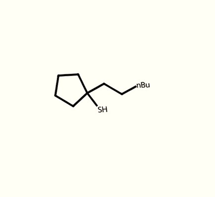 CCCCCCC1(S)CCCC1